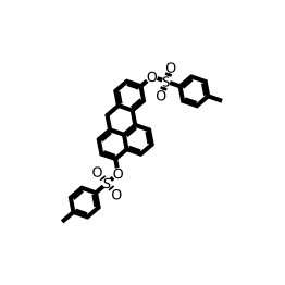 Cc1ccc(S(=O)(=O)Oc2ccc3c(c2)-c2cccc4c(OS(=O)(=O)c5ccc(C)cc5)ccc(c24)C3)cc1